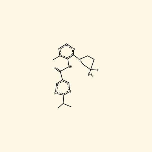 Cc1ccnc(N2CCC(F)(P)C2)c1NC(=O)c1cnc(C(C)C)nc1